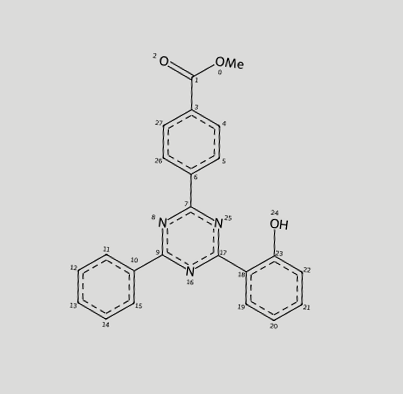 COC(=O)c1ccc(-c2nc(-c3ccccc3)nc(-c3ccccc3O)n2)cc1